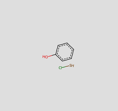 Oc1ccccc1.SCl